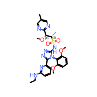 CCNc1cccc(-c2nnc(NS(=O)(=O)[C@@H](C)[C@H](OC)c3ncc(C)cn3)n2-c2c(OC)cccc2OC)n1